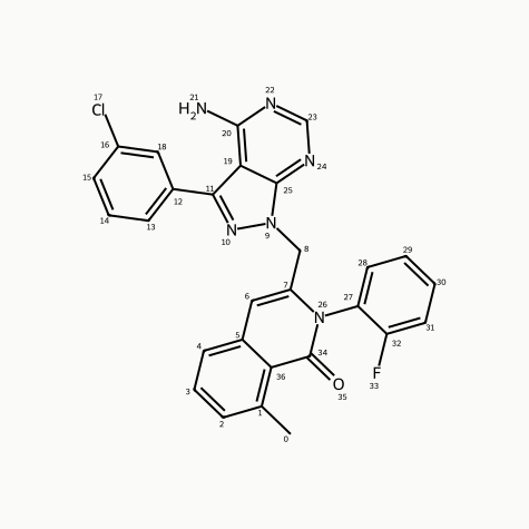 Cc1cccc2cc(Cn3nc(-c4cccc(Cl)c4)c4c(N)ncnc43)n(-c3ccccc3F)c(=O)c12